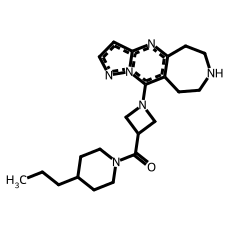 CCCC1CCN(C(=O)C2CN(c3c4c(nc5ccnn35)CCNCC4)C2)CC1